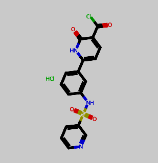 Cl.O=C(Cl)c1ccc(-c2cccc(NS(=O)(=O)c3cccnc3)c2)[nH]c1=O